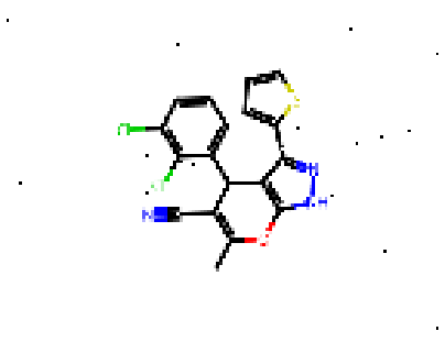 CC1=C(C#N)C(c2cccc(Cl)c2Cl)c2c(-c3cccs3)n[nH]c2O1